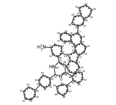 Nc1ccc(-n2c3ccccc3c3ccc4cc(-c5ccc6ccccc6c5)c5ccccc5c4c32)c(C2=NC(c3ccccc3-c3ccccc3)=NC(c3ccc(-c4ccccc4)cc3)N2)c1